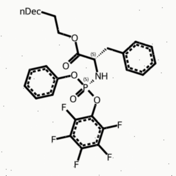 CCCCCCCCCCCCOC(=O)[C@H](Cc1ccccc1)N[P@](=O)(Oc1ccccc1)Oc1c(F)c(F)c(F)c(F)c1F